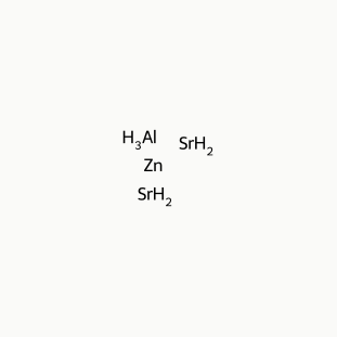 [AlH3].[SrH2].[SrH2].[Zn]